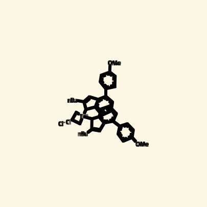 CCCCC1=Cc2c(-c3ccc(OC)cc3)cccc2[CH]1[Ti+2]1([CH]2C(CCCC)=Cc3c(-c4ccc(OC)cc4)cccc32)[CH2]C[CH2]1.[Cl-].[Cl-]